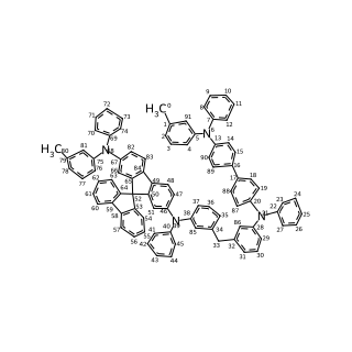 Cc1cccc(N(c2ccccc2)c2ccc(-c3ccc(N(c4ccccc4)c4cccc(Cc5cccc(N(c6ccccc6)c6ccc7c(c6)C6(c8ccccc8-c8ccccc86)c6cc(N(c8ccccc8)c8cccc(C)c8)ccc6-7)c5)c4)cc3)cc2)c1